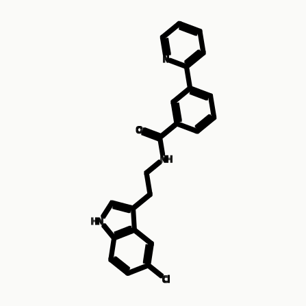 O=C(NCCc1c[nH]c2ccc(Cl)cc12)c1cccc(-c2ccccn2)c1